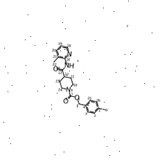 Cc1ccc(COC(=O)N2CCC(C(=O)Nc3ncccc3C)CC2)cc1